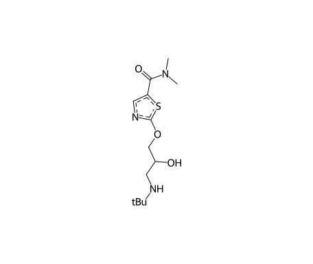 CN(C)C(=O)c1cnc(OCC(O)CNC(C)(C)C)s1